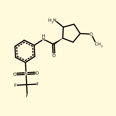 COC1CC(N)[C@H](C(=O)Nc2cccc(S(=O)(=O)C(F)(F)F)c2)C1